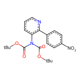 CC(C)(C)OC(=O)N(C(=O)OC(C)(C)C)c1cccnc1-c1ccc([N+](=O)[O-])cc1